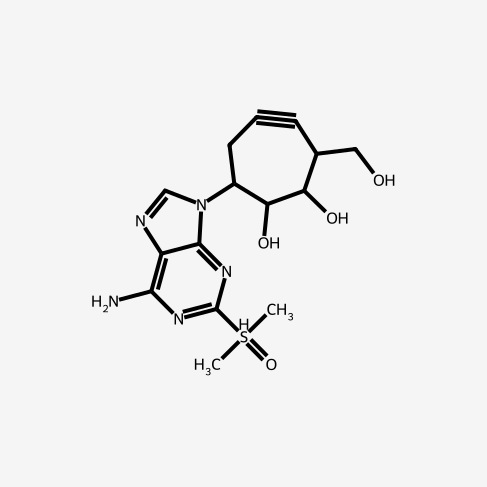 C[SH](C)(=O)c1nc(N)c2ncn(C3CC#CC(CO)C(O)C3O)c2n1